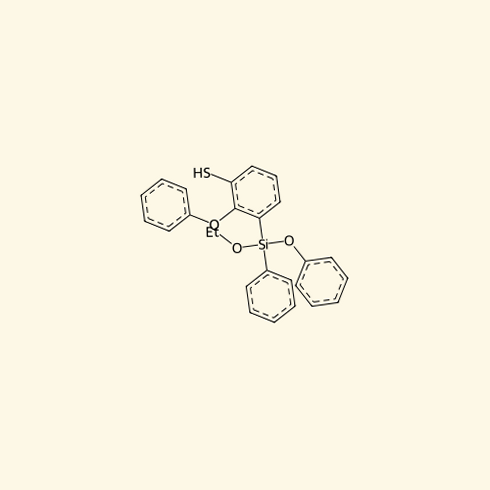 CCO[Si](Oc1ccccc1)(c1ccccc1)c1cccc(S)c1Oc1ccccc1